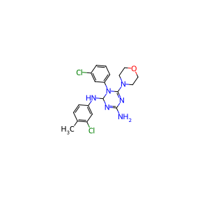 Cc1ccc(NC2N=C(N)N=C(N3CCOCC3)N2c2cccc(Cl)c2)cc1Cl